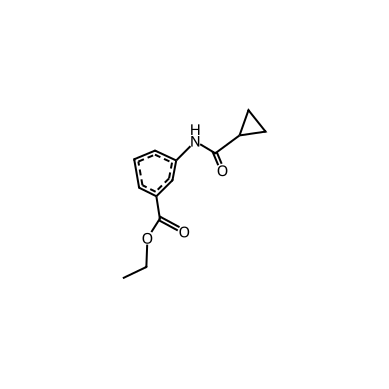 CCOC(=O)c1cccc(NC(=O)C2CC2)c1